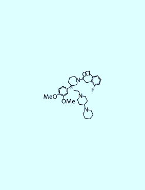 COc1ccc([C@@]2(CCN3CCC(N4CCCCC4)CC3)CCCN(C(=O)Cc3c(F)cccc3Cl)C2)cc1OC